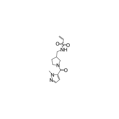 C=CS(=O)(=O)NCC1CCN(C(=O)c2ccnn2C)C1